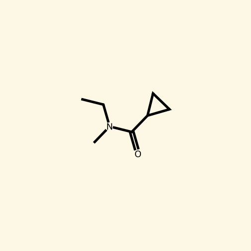 CCN(C)C(=O)C1CC1